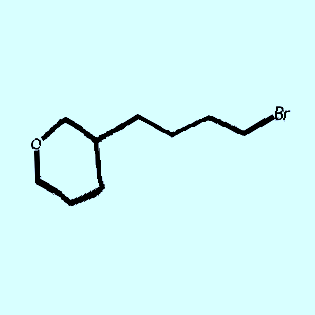 BrCCCCC1CCCOC1